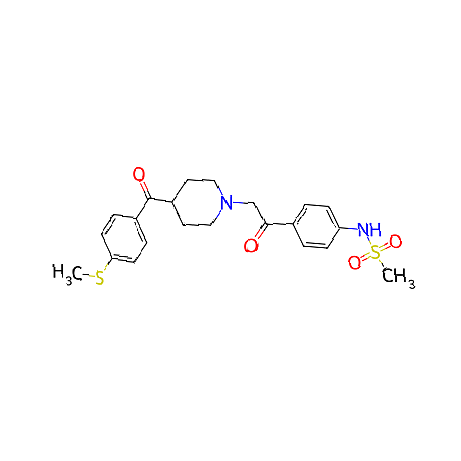 CSc1ccc(C(=O)C2CCN(CC(=O)c3ccc(NS(C)(=O)=O)cc3)CC2)cc1